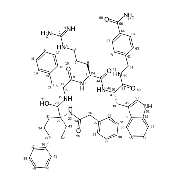 N=C(N)NCCC[C@H](NC(=O)[C@@H](Cc1ccccc1)NC(O)[C@]1(NC(=O)Cc2ccccc2)CC[C@@H](c2ccccc2)CC1)C(=O)N[C@@H](Cc1c[nH]c2ccccc12)C(=O)NCc1ccc(C(N)=O)cc1